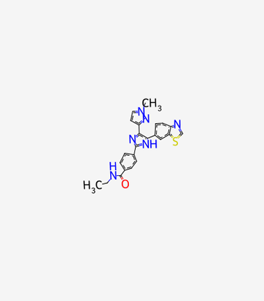 CCNC(=O)c1ccc(-c2nc(-c3ccn(C)n3)c(-c3ccc4ncsc4c3)[nH]2)cc1